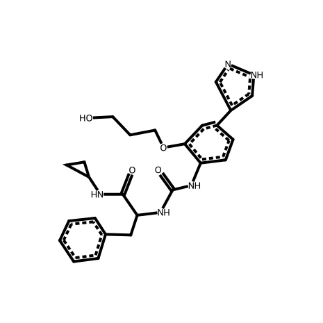 O=C(Nc1ccc(-c2cn[nH]c2)cc1OCCCO)NC(Cc1ccccc1)C(=O)NC1CC1